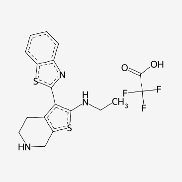 CCNc1sc2c(c1-c1nc3ccccc3s1)CCNC2.O=C(O)C(F)(F)F